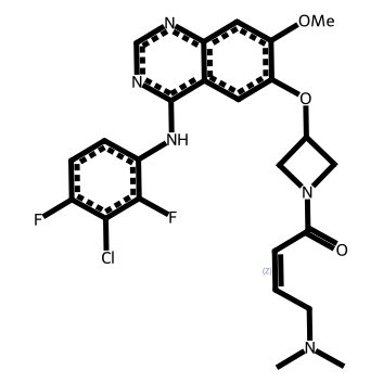 COc1cc2ncnc(Nc3ccc(F)c(Cl)c3F)c2cc1OC1CN(C(=O)/C=C\CN(C)C)C1